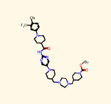 CC(C)(C)OC(=O)N1CCC(CN2CCN(CC3CCN(c4cnc(NC(=O)C5CCN(c6ccc(C#N)c(C(F)(F)F)c6)CC5)nc4)CC3)CC2)CC1